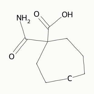 NC(=O)C1(C(=O)O)CCCCCC1